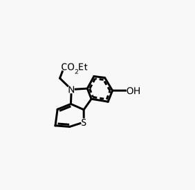 CCOC(=O)CN1C2=CC=CSC2c2cc(O)ccc21